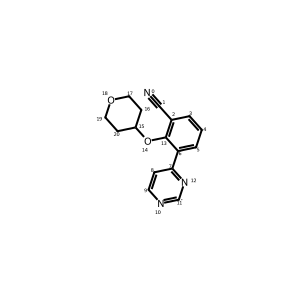 N#Cc1cccc(-c2ccn[c]n2)c1OC1CCOCC1